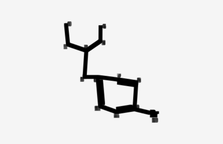 CCC(CC)Cc1ccc(Br)cc1